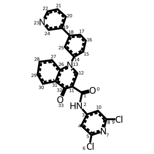 O=C(Nc1cc(Cl)nc(Cl)c1)c1cn(-c2cccc(-c3cccnc3)c2)c2ccccc2c1=O